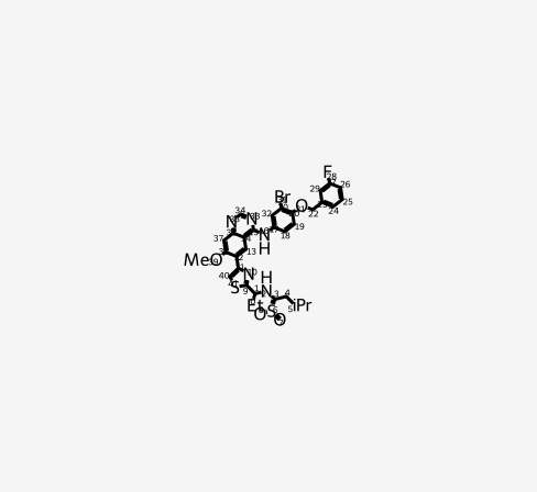 CCC(NC(CC(C)C)=S(=O)=O)c1nc(-c2cc3c(Nc4ccc(OCc5cccc(F)c5)c(Br)c4)ncnc3cc2OC)cs1